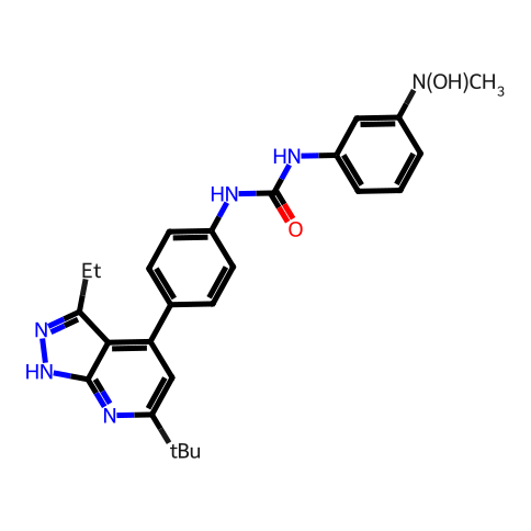 CCc1n[nH]c2nc(C(C)(C)C)cc(-c3ccc(NC(=O)Nc4cccc(N(C)O)c4)cc3)c12